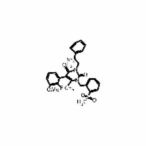 COc1cccc(-c2c(C)n(Cc3ccccc3S(C)(=O)=O)c(=O)n(C[C@H](N)c3ccccc3)c2=O)c1F